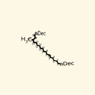 CCCCCCCCCCCCCCC=CCCCCCCCCCC(C)CCCCCCCCCCCC